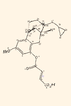 COc1cc(OC(=O)/C=C/C(=O)O)c2c(c1)[C@]13CCN(CC4CC4)[C@H](C2)[C@@H]1OCOC3